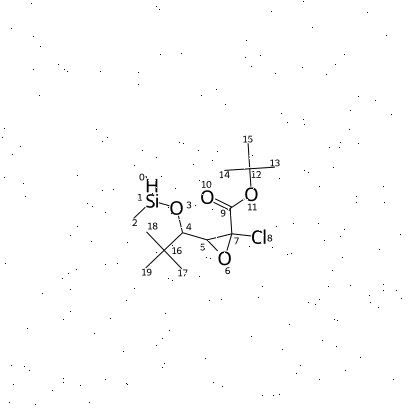 C[SiH](C)OC(C1OC1(Cl)C(=O)OC(C)(C)C)C(C)(C)C